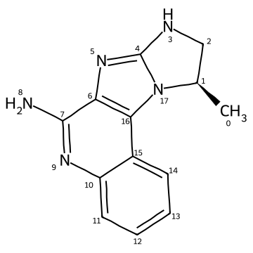 C[C@@H]1CNc2nc3c(N)nc4ccccc4c3n21